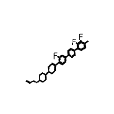 C=CCCC1CCC(C2CC=C(c3ccc(-c4ccc(-c5ccc(C)c(F)c5F)cc4)cc3F)CC2)CC1